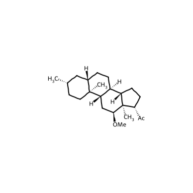 CO[C@H]1C[C@H]2[C@@H](CC[C@H]3C[C@@H](C)CC[C@@]32C)[C@@H]2CC[C@H](C(C)=O)[C@@]12C